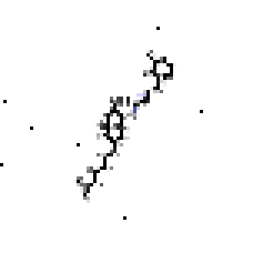 Cc1cccc(C/C=C/C=C/[C@@H]2[C@H]3CC(CCCCCN(C)C)=C[C@H]3C[C@H]2O)c1